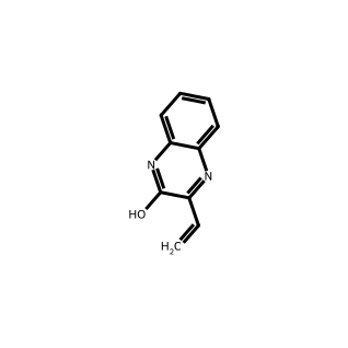 C=Cc1nc2ccccc2nc1O